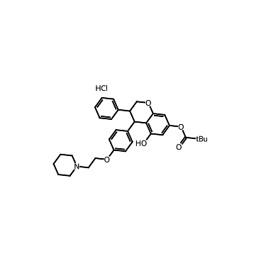 CC(C)(C)C(=O)Oc1cc(O)c2c(c1)OCC(c1ccccc1)C2c1ccc(OCCN2CCCCC2)cc1.Cl